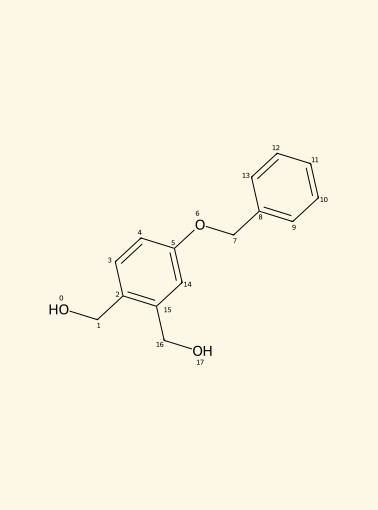 OCc1ccc(OCc2ccccc2)cc1CO